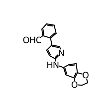 O=Cc1ccccc1-c1ccc(Nc2ccc3c(c2)OCCO3)nc1